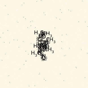 Cc1ccc(S(=O)(=O)N(C)c2nc(N[C@@H](Cc3ccc(OC(=O)N(C)C)cc3)C(=O)O)nc(N(C)CCc3ccccn3)n2)cc1